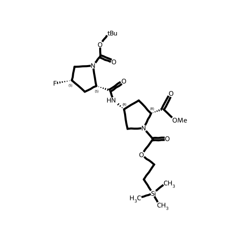 COC(=O)[C@H]1C[C@@H](NC(=O)[C@@H]2C[C@H](F)CN2C(=O)OC(C)(C)C)CN1C(=O)OCC[Si](C)(C)C